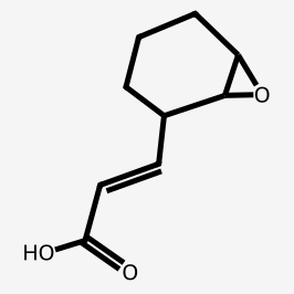 O=C(O)C=CC1CCCC2OC12